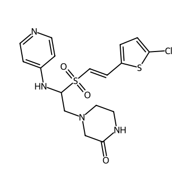 O=C1CN(CC(Nc2ccncc2)S(=O)(=O)C=Cc2ccc(Cl)s2)CCN1